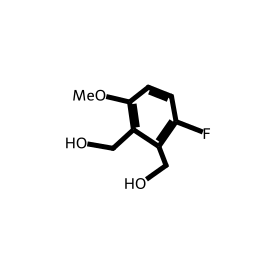 COc1ccc(F)c(CO)c1CO